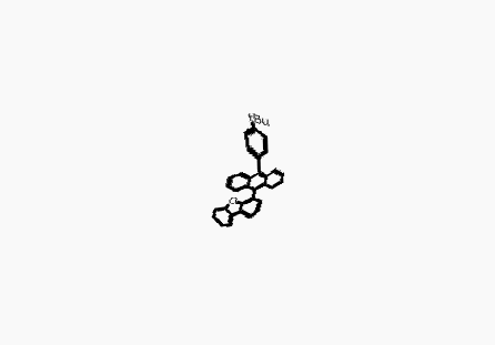 CC(C)(C)c1ccc(-c2c3ccccc3c(-c3cccc4c3oc3ccccc34)c3ccccc23)cc1